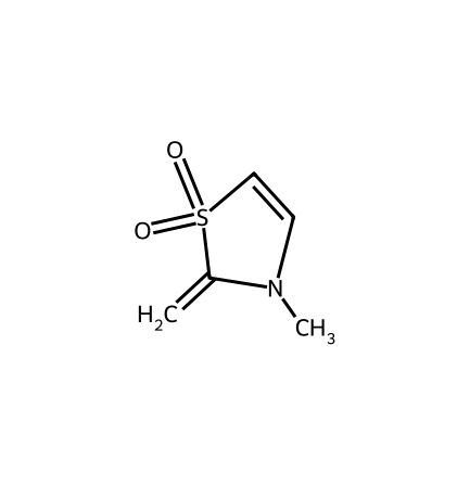 C=C1N(C)C=CS1(=O)=O